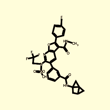 CNC(=O)c1c(-c2ccc(F)cc2)oc2nc(N(CC(F)(F)F)S(C)(=O)=O)c(-c3cccc(C(=O)NC45CC6CC64C5)c3)cc12